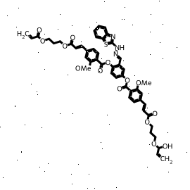 C=CC(=O)OCCCOC(=O)/C=C/c1ccc(C(=O)Oc2ccc(OC(=O)c3ccc(/C=C/C(=O)OCCCOC(O)C=C)cc3OC)cc2/C=N/Nc2nc3ccccc3s2)c(OC)c1